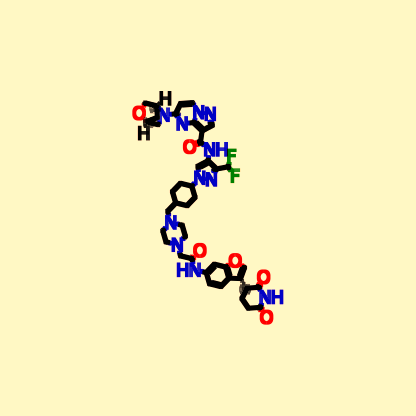 O=C1CC[C@H](c2coc3cc(NC(=O)CN4CCN(CC5CCC(n6cc(NC(=O)c7cnn8ccc(N9C[C@@H]%10C[C@H]9CO%10)nc78)c(C(F)F)n6)CC5)CC4)ccc23)C(=O)N1